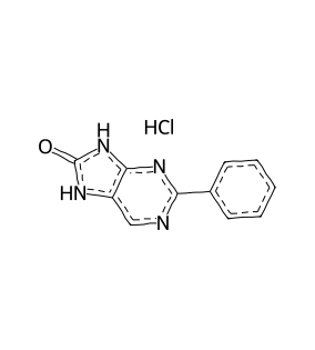 Cl.O=c1[nH]c2cnc(-c3ccccc3)nc2[nH]1